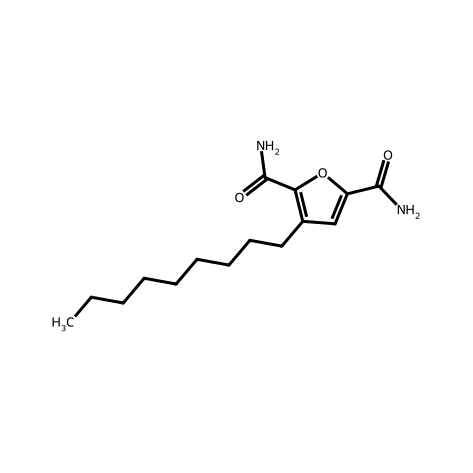 CCCCCCCCCc1cc(C(N)=O)oc1C(N)=O